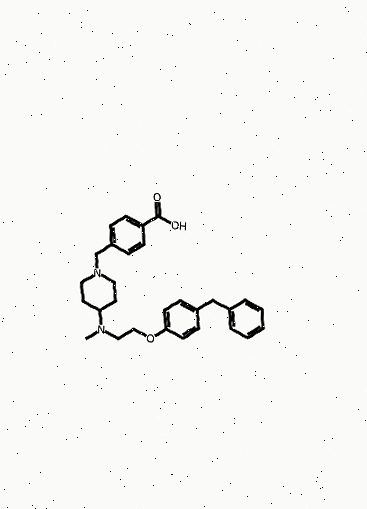 CN(CCOc1ccc(Cc2ccccc2)cc1)C1CCN(Cc2ccc(C(=O)O)cc2)CC1